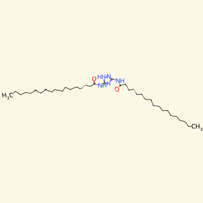 CCCCCCCCCCCCCCCCCC(=O)Nc1n[nH]c(NC(=O)CCCCCCCCCCCCCCCCC)n1